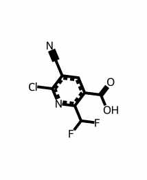 N#Cc1cc(C(=O)O)c(C(F)F)nc1Cl